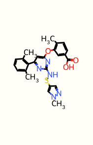 Cc1ccc(C(=O)O)cc1Oc1cc(-c2c(C)cccc2C)nc(NSc2cnn(C)c2)n1